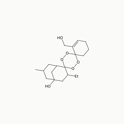 CCC1CC2(O)CC(C)CC(C2)C12OOC1(CCCC=C1CO)OO2